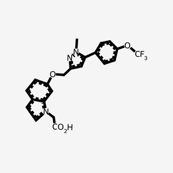 Cn1nc(COc2ccc3ccn(CC(=O)O)c3c2)cc1-c1ccc(OC(F)(F)F)cc1